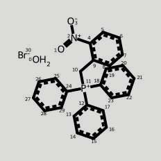 O.O=[N+]([O-])c1ccccc1C[P+](c1ccccc1)(c1ccccc1)c1ccccc1.[Br-]